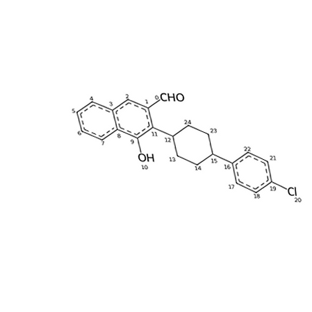 O=Cc1cc2ccccc2c(O)c1C1CCC(c2ccc(Cl)cc2)CC1